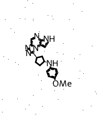 COc1ccc(N[C@@H]2CC[C@@H](c3nnc4cnc5[nH]ccc5n34)C2)cc1